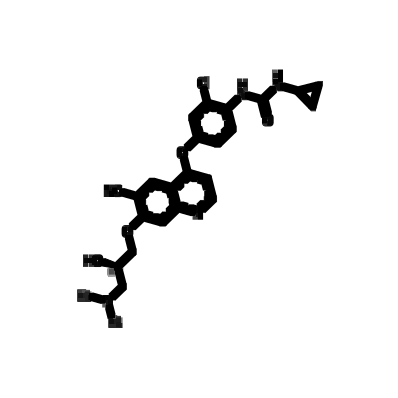 CCN(CC)C[C@@H](O)COc1cc2nccc(Oc3ccc(NC(=O)NC4CC4)c(Cl)c3)c2cc1C#N